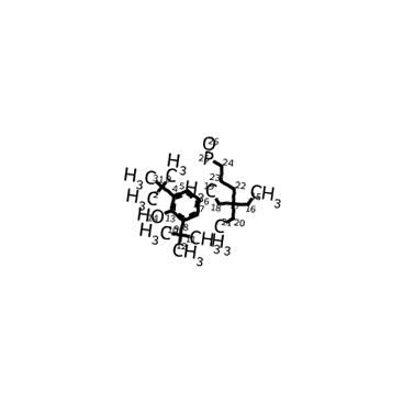 CC(C)(C)c1cccc(C(C)(C)C)c1O.CCC(CC)(CC)CCCP=O